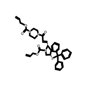 C=CCOC(=O)N1CCN(C(=O)/C=C/[C@@H]2C[C@H](SC(c3ccccc3)(c3ccccc3)c3ccccc3)CN2C(=O)OCC=C)CC1